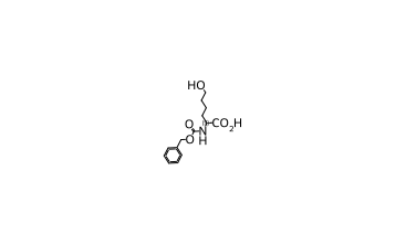 O=C(N[C@@H](CCCCO)C(=O)O)OCc1ccccc1